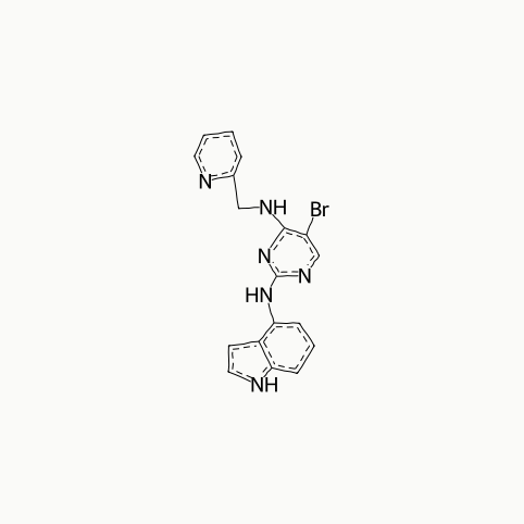 Brc1cnc(Nc2cccc3[nH]ccc23)nc1NCc1ccccn1